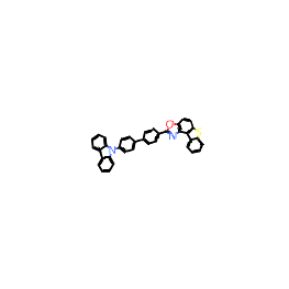 c1ccc2c(c1)sc1ccc3oc(-c4ccc(-c5ccc(-n6c7ccccc7c7ccccc76)cc5)cc4)nc3c12